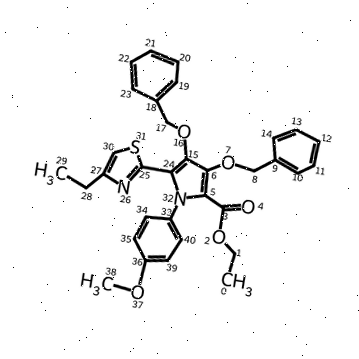 CCOC(=O)c1c(OCc2ccccc2)c(OCc2ccccc2)c(-c2nc(CC)cs2)n1-c1ccc(OC)cc1